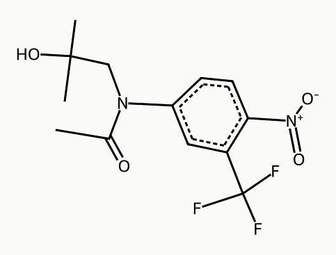 CC(=O)N(CC(C)(C)O)c1ccc([N+](=O)[O-])c(C(F)(F)F)c1